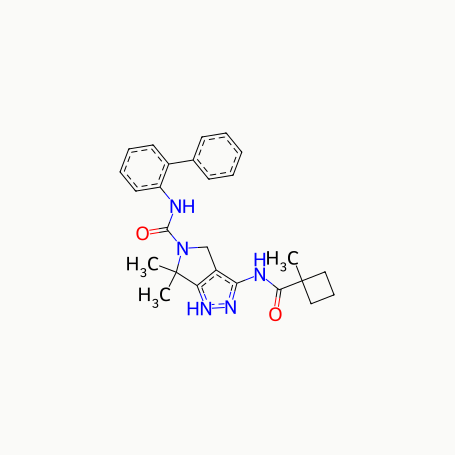 CC1(C(=O)Nc2n[nH]c3c2CN(C(=O)Nc2ccccc2-c2ccccc2)C3(C)C)CCC1